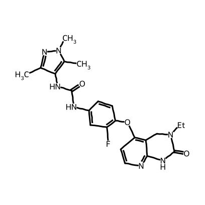 CCN1Cc2c(Oc3ccc(NC(=O)Nc4c(C)nn(C)c4C)cc3F)ccnc2NC1=O